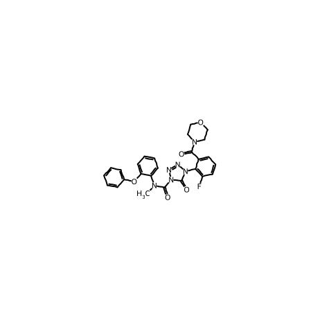 CN(C(=O)n1nnn(-c2c(F)cccc2C(=O)N2CCOCC2)c1=O)c1ccccc1Oc1ccccc1